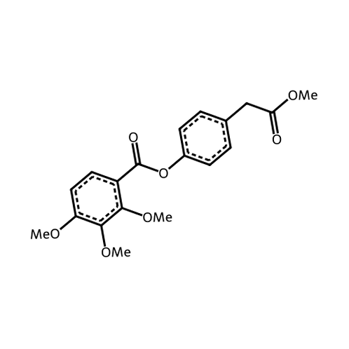 COC(=O)Cc1ccc(OC(=O)c2ccc(OC)c(OC)c2OC)cc1